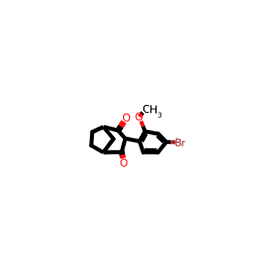 COc1cc(Br)ccc1C1C(=O)C2CCC(C2)C1=O